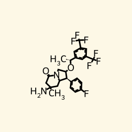 C[C@@H](OC1CN2C(=O)CC(C)(N)CC2[C@@H]1c1ccc(F)cc1)c1cc(C(F)(F)F)cc(C(F)(F)F)c1